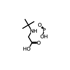 CC(C)(C)NCC(=O)O.O=PO